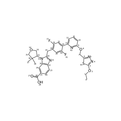 CCOc1nnc(COc2cccc(-c3cc(F)c(Cc4nc5ccc(C(=O)O)cc5n4C4COCC4(C)C)cc3F)n2)s1